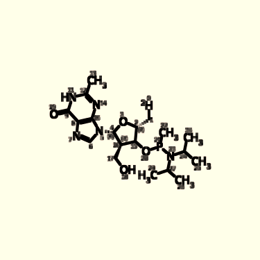 [2H]C[C@H]1O[C@@H](n2cnc3c(=O)[nH]c(C)nc32)[C@H](CO)C1OP(C)N(C(C)C)C(C)C